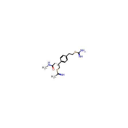 CNC(=O)C[C@@H](CSC(C)=N)c1ccc(CCSC(=N)N)cc1